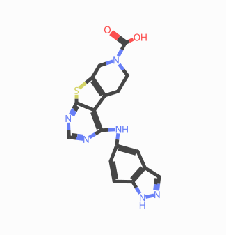 O=C(O)N1CCc2c(sc3ncnc(Nc4ccc5[nH]ncc5c4)c23)C1